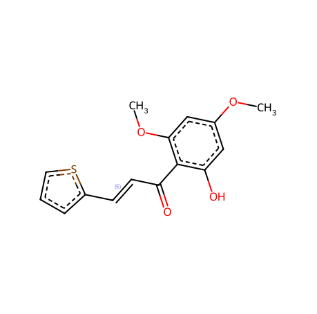 COc1cc(O)c(C(=O)/C=C/c2cccs2)c(OC)c1